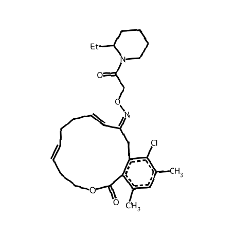 CCC1CCCCN1C(=O)CO/N=C1\C=C\CC/C=C/CCOC(=O)c2c(C)cc(C)c(Cl)c2C1